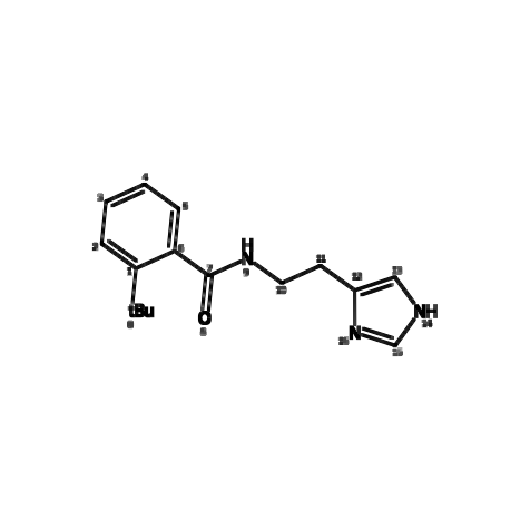 CC(C)(C)c1ccccc1C(=O)NCCc1c[nH]cn1